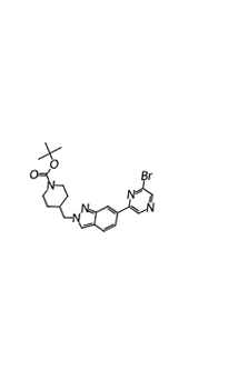 CC(C)(C)OC(=O)N1CCC(Cn2cc3ccc(-c4cncc(Br)n4)cc3n2)CC1